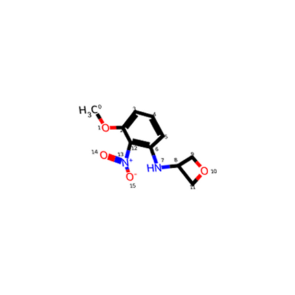 COc1cccc(NC2COC2)c1[N+](=O)[O-]